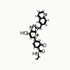 CCNC(=O)c1ccc(-c2ccc3nnn(Cc4ccc5ncccc5c4)c3n2)cc1Cl.Cl